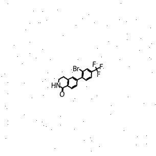 O=C1NCCc2cc(-c3ccc(C(F)(F)F)cc3Br)ccc21